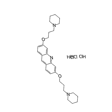 Cl.Cl.Cl.c1cc2cc3ccc(OCCCN4CCCCC4)cc3nc2cc1OCCCN1CCCCC1